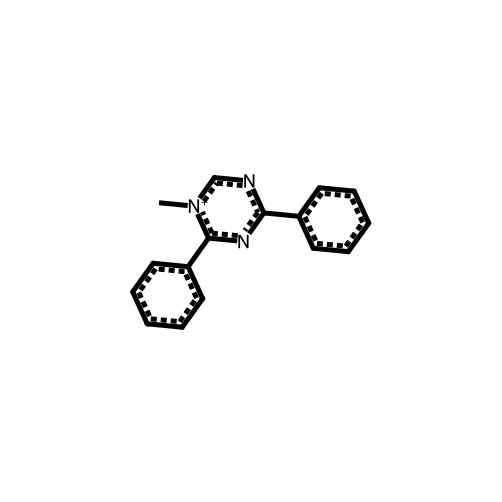 C[n+]1cnc(-c2ccccc2)nc1-c1ccccc1